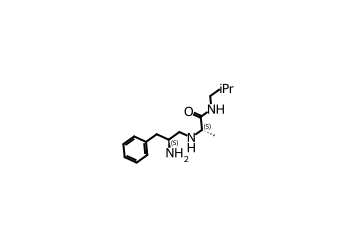 CC(C)CNC(=O)[C@H](C)NC[C@@H](N)Cc1ccccc1